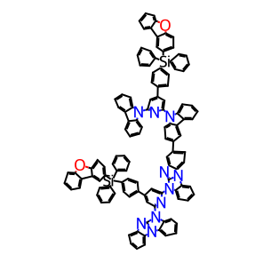 c1ccc([Si](c2ccccc2)(c2ccc(-c3cc(-n4c5ccccc5c5ccccc54)nc(-n4c5ccccc5c5cc(-c6ccc7c(c6)nc6n(-c8cc(-c9ccc([Si](c%10ccccc%10)(c%10ccccc%10)c%10ccc%11oc%12ccccc%12c%11c%10)cc9)cc(-n9c%10ccccc%10n%10c%11ccccc%11nc9%10)n8)c8ccccc8n76)ccc54)c3)cc2)c2ccc3oc4ccccc4c3c2)cc1